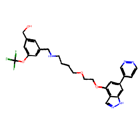 OCc1cc(CNCCCCOCCOc2cc(-c3ccnnc3)cc3[nH]ncc23)cc(OC(F)(F)F)c1